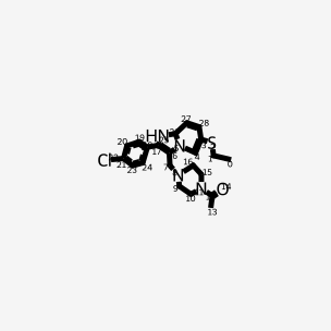 CCSC1=CN2C(CN3CCN(C(C)=O)CC3)=C(c3ccc(Cl)cc3)NC2C=C1